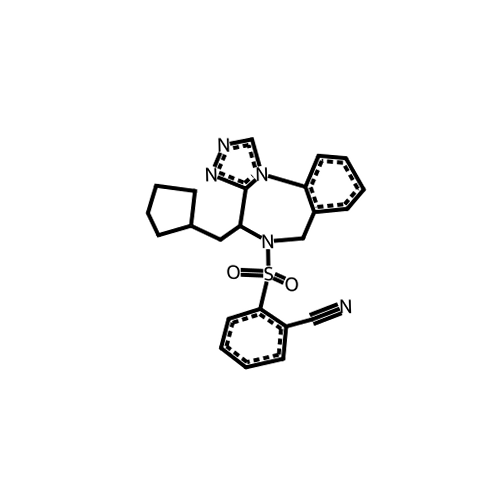 N#Cc1ccccc1S(=O)(=O)N1Cc2ccccc2-n2cnnc2C1CC1CCCC1